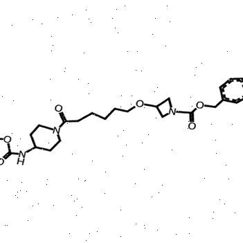 CC(C)(C)OC(=O)NC1CCN(C(=O)CCCCCOC2CN(C(=O)OCc3ccccc3)C2)CC1